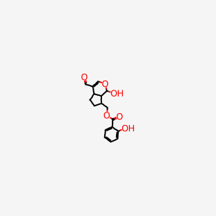 O=CC1=COC(O)C2C(COC(=O)c3ccccc3O)CCC12